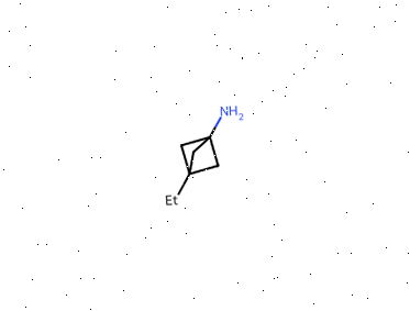 CCC12CC(N)(C1)C2